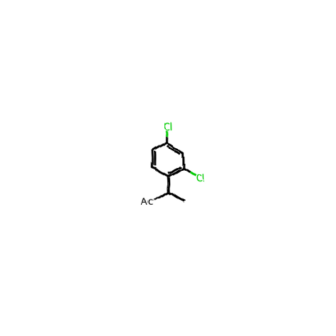 CC(=O)C(C)c1ccc(Cl)cc1Cl